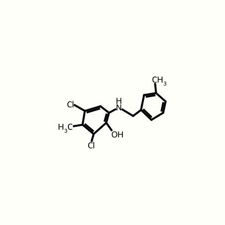 Cc1cccc(CNc2cc(Cl)c(C)c(Cl)c2O)c1